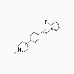 CN1CCN(c2ccc(/C=C/c3ccccc3F)cc2)CC1